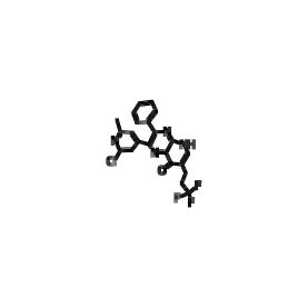 Cc1cc(-c2nc3c(=O)c(CCC(F)(F)F)c[nH]c3nc2-c2ccccc2)cc(Cl)n1